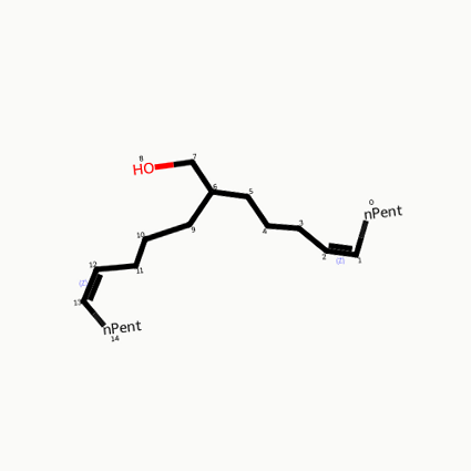 CCCCC/C=C\CCCC(CO)CCC/C=C\CCCCC